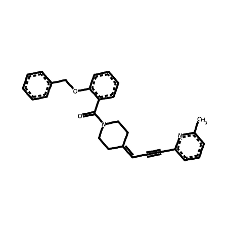 Cc1cccc(C#CC=C2CCN(C(=O)c3ccccc3OCc3ccccc3)CC2)n1